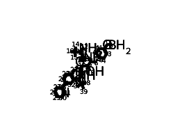 BOC1=CC[C@@H](CC(NC(=O)C(N)C(C)(C)C)C(O)CN(Cc2ccc(-c3ccccn3)cc2)NOC(C)(C)C)CC1